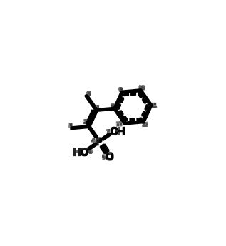 CC(=C(C)P(=O)(O)O)c1ccccc1